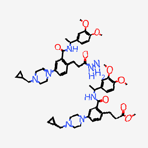 COC(=O)CCc1ccc(N2CCN(CC3CC3)CC2)cc1C(=O)NC(C)c1ccc(OC)c(OC)c1.COc1ccc(C(C)NC(=O)c2cc(N3CCN(CC4CC4)CC3)ccc2CCC(=O)NN)cc1OC